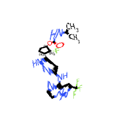 CC(C)NC(=O)O[C@H]1CC[C@@H](c2cc(Nc3nccn4nc(C(F)(F)F)cc34)n[nH]2)[C@H]1F